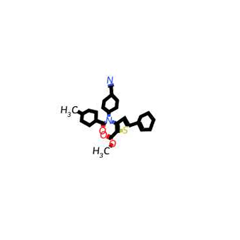 COC(=O)c1sc(C2=CCCCC2)cc1N(C(=O)C1CCC(C)CC1)C1CCC(C#N)CC1